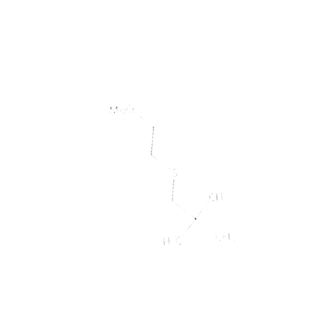 COCCSCC(C)(C)C